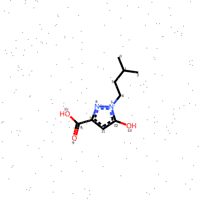 CC(C)CCn1nc(C(=O)O)cc1O